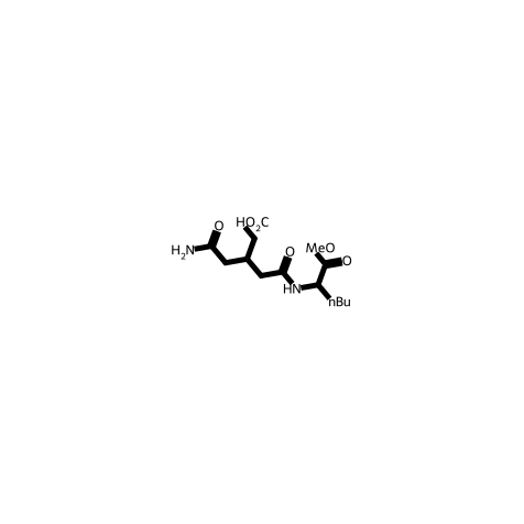 CCCCC(NC(=O)CC(CC(N)=O)CC(=O)O)C(=O)OC